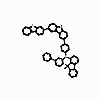 CC1(C)c2ccccc2-c2cccc(N(c3ccc(-c4ccc5sc6ccc(-c7ccc8c(c7)oc7ccccc78)cc6c5c4)cc3)c3cccc(-c4ccccc4)c3)c21